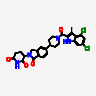 Cc1c(C(=O)N2CCC(c3ccc4c(c3)CN(C3CCC(=O)NC3=O)C4=O)CC2)[nH]c2cc(Cl)cc(Cl)c12